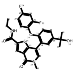 CCNC(=O)c1cc2c(=O)n(C)cc(-c3cc(C(C)(C)O)ccc3Oc3ccc(F)cc3F)c2s1